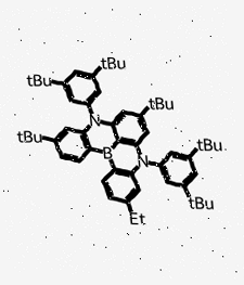 CCc1ccc2c(c1)N(c1cc(C(C)(C)C)cc(C(C)(C)C)c1)c1cc(C(C)(C)C)cc3c1B2c1ccc(C(C)(C)C)cc1N3c1cc(C(C)(C)C)cc(C(C)(C)C)c1